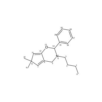 CCCCN1CC2=CC(C)(C)C=C2OC1c1ccccc1